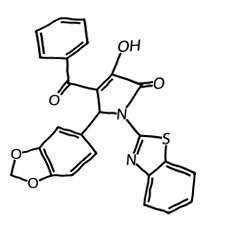 O=C(C1=C(O)C(=O)N(c2nc3ccccc3s2)C1c1ccc2c(c1)OCO2)c1ccccc1